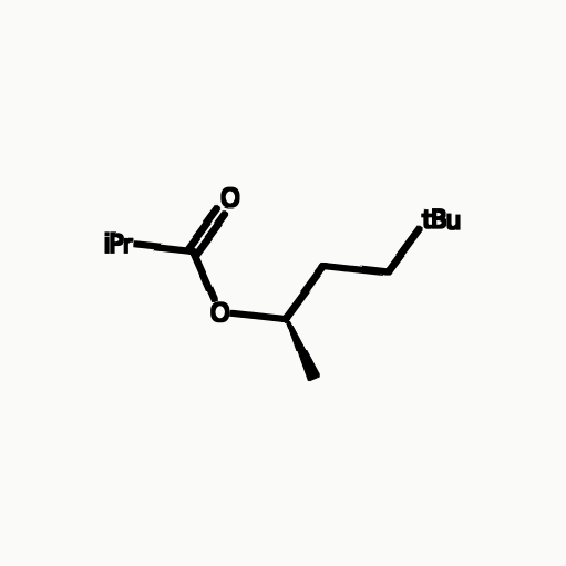 CC(C)C(=O)O[C@H](C)CCC(C)(C)C